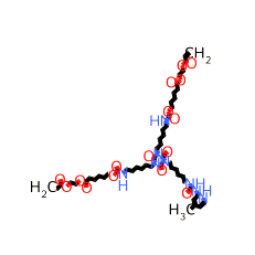 C=CC(=O)OCCOC(=O)CCCCCOC(=O)NCCCCCCn1c(=O)n(CCCCCCNC(=O)Nc2cc(C)ccn2)c(=O)n(CCCCCCNC(=O)OCCCCCC(=O)OCCOC(=O)C=C)c1=O